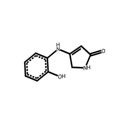 O=C1C=C(Nc2ccccc2O)CN1